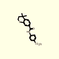 CCOC(=O)c1ccc(NC(=O)c2ccc3c(c2)SCCC3(C)C)cc1